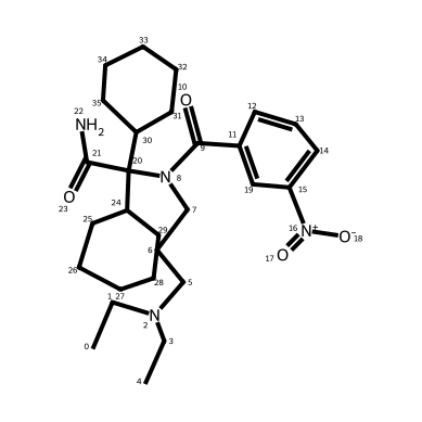 CCN(CC)CCCN(C(=O)c1cccc([N+](=O)[O-])c1)C(C(N)=O)(C1CCCCC1)C1CCCCC1